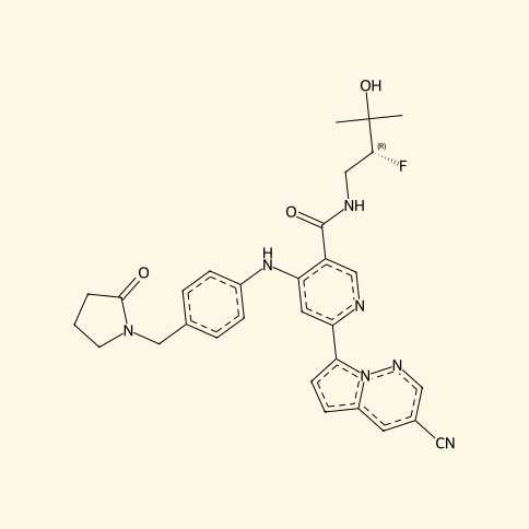 CC(C)(O)[C@H](F)CNC(=O)c1cnc(-c2ccc3cc(C#N)cnn23)cc1Nc1ccc(CN2CCCC2=O)cc1